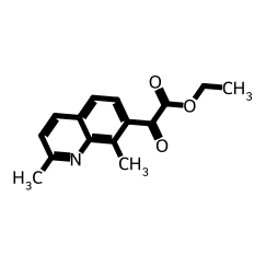 CCOC(=O)C(=O)c1ccc2ccc(C)nc2c1C